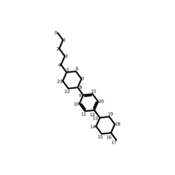 CCCCCC1CCC(c2ccc(C3CCC(C)CC3)cc2)CC1